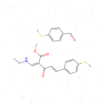 CCNC=C(C(=O)C=Cc1ccc(SC)cc1)C(=O)OC.CSc1ccc(C=O)cc1